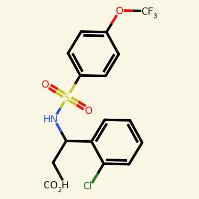 O=C(O)CC(NS(=O)(=O)c1ccc(OC(F)(F)F)cc1)c1ccccc1Cl